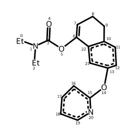 CCN(CC)C(=O)OC1=CCCc2ccc(Oc3ccccn3)cc21